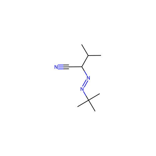 CC(C)C(C#N)N=NC(C)(C)C